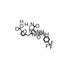 NC(=O)c1nc(Cc2ccc(C(=O)O)o2)[nH]c1NC(=O)Nc1ccc(C(F)(F)F)cc1